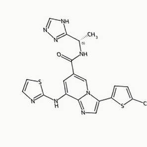 Cc1ccc(-c2cnc3c(Nc4nccs4)cc(C(=O)N[C@@H](C)c4nnc[nH]4)cn23)s1